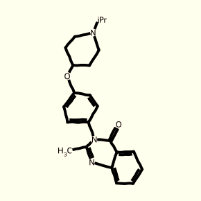 Cc1nc2ccccc2c(=O)n1-c1ccc(OC2CCN(C(C)C)CC2)cc1